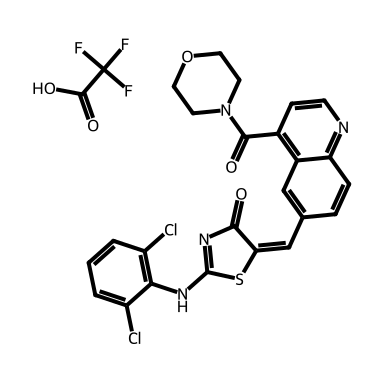 O=C(O)C(F)(F)F.O=C1N=C(Nc2c(Cl)cccc2Cl)SC1=Cc1ccc2nccc(C(=O)N3CCOCC3)c2c1